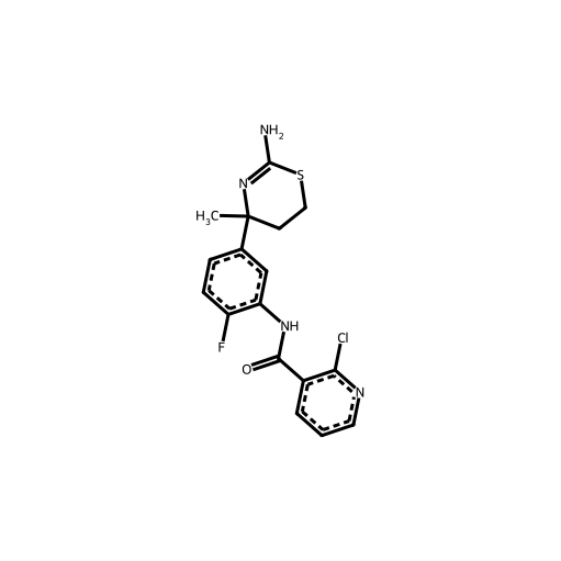 CC1(c2ccc(F)c(NC(=O)c3cccnc3Cl)c2)CCSC(N)=N1